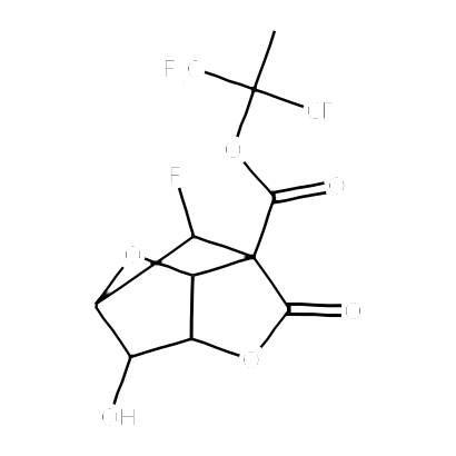 CC(OC(=O)C12C(=O)OC3C(O)C(OC31)C2F)(C(F)(F)F)C(F)(F)F